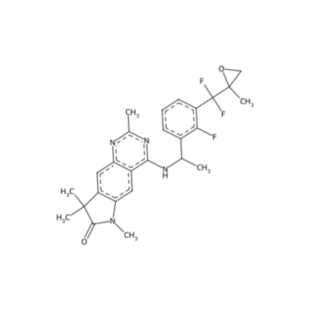 Cc1nc(NC(C)c2cccc(C(F)(F)C3(C)CO3)c2F)c2cc3c(cc2n1)C(C)(C)C(=O)N3C